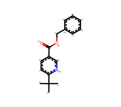 CC(C)(C)c1ccc(C(=O)OCc2ccccc2)cn1